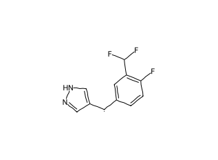 Fc1ccc([CH]c2cn[nH]c2)cc1C(F)F